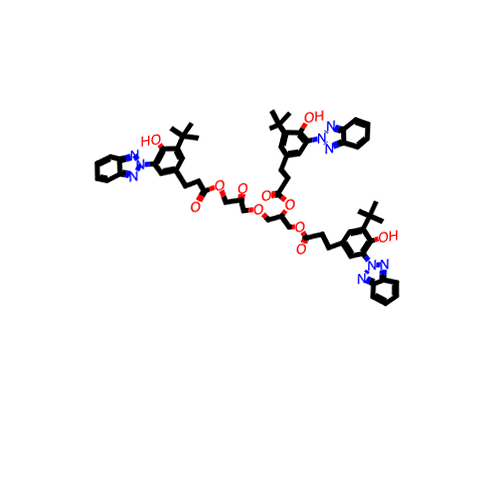 CC(C)(C)c1cc(CCC(=O)OCC(=O)COCC(COC(=O)CCc2cc(-n3nc4ccccc4n3)c(O)c(C(C)(C)C)c2)OC(=O)CCc2cc(-n3nc4ccccc4n3)c(O)c(C(C)(C)C)c2)cc(-n2nc3ccccc3n2)c1O